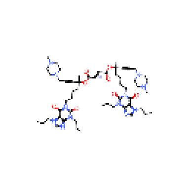 CCCn1cnc2c1c(=O)n(CCCCC(C)(C#CCN1CCN(C)CC1)OC(=O)/C=C/C(=O)OC(C)(C#CCN1CCN(C)CC1)CCCCn1c(=O)c3c(ncn3CCC)n(CCC)c1=O)c(=O)n2CCC